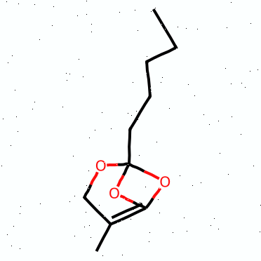 CCCCCC12OCC(C)=C(O1)O2